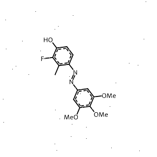 COc1cc(N=Nc2ccc(O)c(F)c2C)cc(OC)c1OC